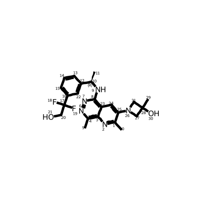 Cc1nc2c(C)nnc(N[C@H](C)c3cccc(C(F)(F)CO)c3)c2cc1N1CC(C)(O)C1